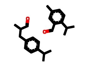 CC(C=O)Cc1ccc(C(C)C)cc1.Cc1ccc(C(C)C)c(C=O)c1